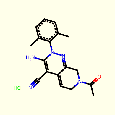 CC(=O)N1CC=C2C(=NN(c3c(C)cccc3C)C(N)=C2C#N)C1.Cl